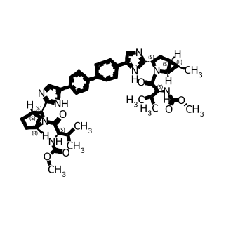 COC(=O)N[C@H](C(=O)N1[C@@H]2CC[C@@H](C2)[C@H]1c1ncc(-c2ccc(-c3ccc(-c4cnc([C@@H]5C[C@H]6[C@@H](C)[C@H]6N5C(=O)[C@@H](NC(=O)OC)C(C)C)[nH]4)cc3)cc2)[nH]1)C(C)C